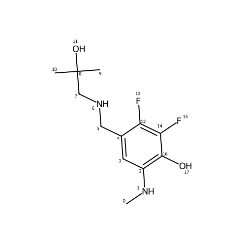 CNc1cc(CNCC(C)(C)O)c(F)c(F)c1O